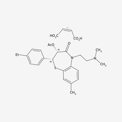 CCc1ccc([C@H]2Sc3cc(C)ccc3N(CCN(C)C)C(=O)[C@H]2OC(C)=O)cc1.O=C(O)/C=C\C(=O)O